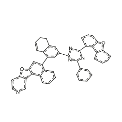 C1=Cc2c(cc(-c3nc(-c4ccccc4)nc(-c4cccc5oc6ccccc6c45)n3)cc2-c2cc3oc4ccncc4c3c3ccccc23)CC1